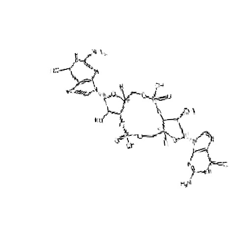 NC1=Nc2c(ncn2[C@@H]2O[C@@H]3COP(=O)(O)OC4C(O)[C@H](n5cnc6c(=O)[nH]c(N)nc65)O[C@@H]4COP(=O)(O)OC3C2O)C(O)N1